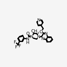 CC1CN(c2nc3ccccc3nc2OCc2ccncc2)CCN1C(=O)Nc1cccc(C(F)(F)F)c1